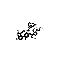 C=CC(=O)N1CCC(N(CC)c2nc(OCC34CCCN3CC(F)C4)nc3cc(-c4ccc(F)c5sc(N)c(C#N)c45)c(C#N)cc23)C1COC